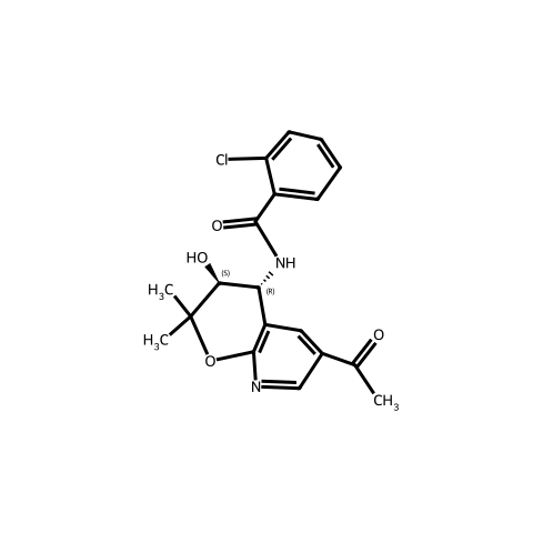 CC(=O)c1cnc2c(c1)[C@@H](NC(=O)c1ccccc1Cl)[C@H](O)C(C)(C)O2